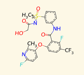 Cc1nc(F)ccc1Oc1ccc(C(F)(F)F)c(F)c1C(=O)Nc1cccc([S@@](C)(=O)=NC(=O)CO)c1